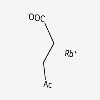 CC(=O)CCC(=O)[O-].[Rb+]